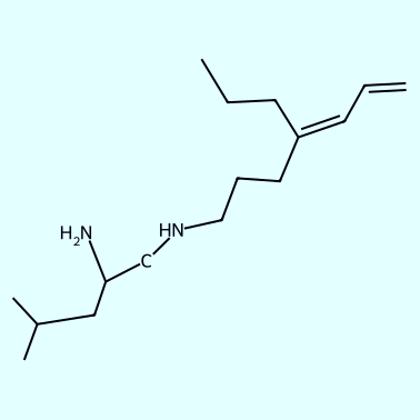 C=C/C=C(\CCC)CCCNCC(N)CC(C)C